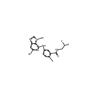 Cc1ccc(Nc2nc(Br)cc3ncn(C(C)C)c23)cc1C(=O)NCC(F)F